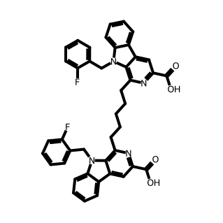 O=C(O)c1cc2c3ccccc3n(Cc3ccccc3F)c2c(CCCCCc2nc(C(=O)O)cc3c4ccccc4n(Cc4ccccc4F)c23)n1